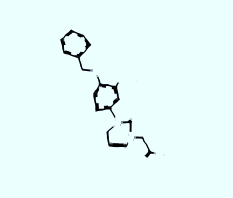 Cc1cc(N2CC=CN(CC(=O)O)C2=O)ccc1OCc1ccccc1